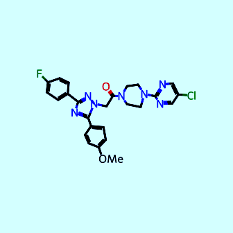 COc1ccc(-c2nc(-c3ccc(F)cc3)nn2CC(=O)N2CCN(c3ncc(Cl)cn3)CC2)cc1